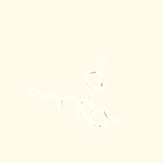 CCc1ccc(-c2c(CNCCC(C)C)oc3ccc(C)cc23)cc1